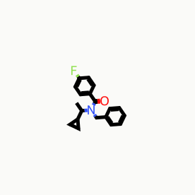 CC(C1CC1)N(Cc1ccccc1)C(=O)c1ccc(F)cc1